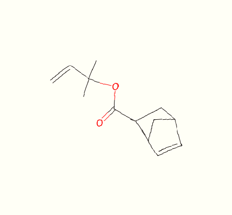 C=CC(C)(C)OC(=O)C1CC2C=CC1C2